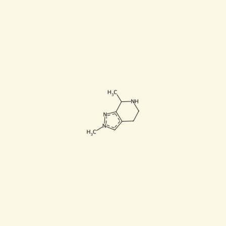 CC1NCCc2cn(C)nc21